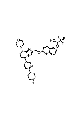 O=C(O)C(F)(F)F.c1ccc2nc(OCc3cn4c(-c5ccc(C6CCNCC6)nc5)cnc(N5CCOCC5)c4n3)ccc2c1